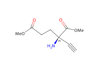 C#C[C@](N)(CCC(=O)OC)C(=O)OC